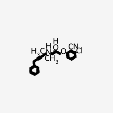 CC(C)(C#CCc1ccccc1)NC[C@@H](O)COc1cccc(Cl)c1C#N